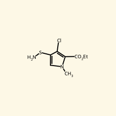 CCOC(=O)c1c(Cl)c(SN)cn1C